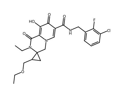 CCOCC1CC12Cn1cc(C(=O)NCc3cccc(Cl)c3F)c(=O)c(O)c1C(=O)N2CC